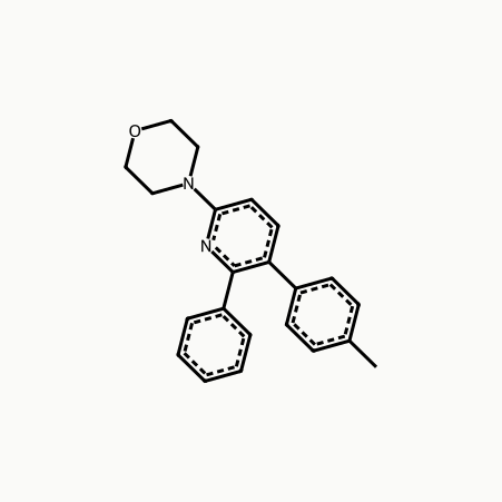 Cc1ccc(-c2ccc(N3CCOCC3)nc2-c2ccccc2)cc1